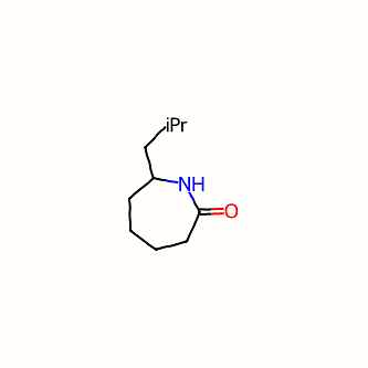 CC(C)CC1CCCCC(=O)N1